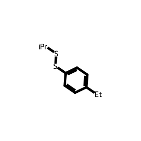 CCc1ccc(SSC(C)C)cc1